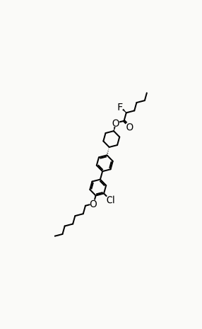 CCCCCCCOc1ccc(-c2ccc([C@H]3CC[C@H](OC(=O)[C@@H](F)CCCC)CC3)cc2)cc1Cl